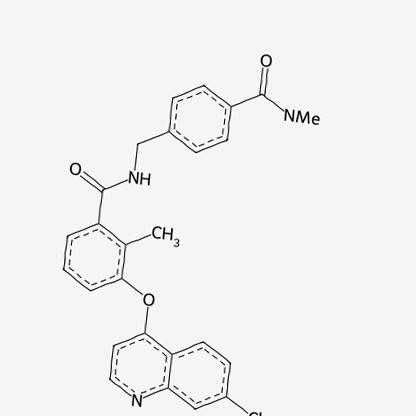 CNC(=O)c1ccc(CNC(=O)c2cccc(Oc3ccnc4cc(Cl)ccc34)c2C)cc1